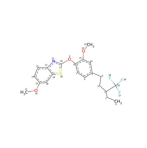 CCC(CCc1ccc(Oc2nc3ccc(OC)cc3s2)c(OC)c1)C(F)(F)F